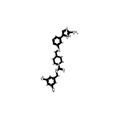 Cc1ncc(-c2cccc(OCC3CCN(C(=O)OCc4cc(Cl)cc(Cl)c4)CC3)c2)[nH]1